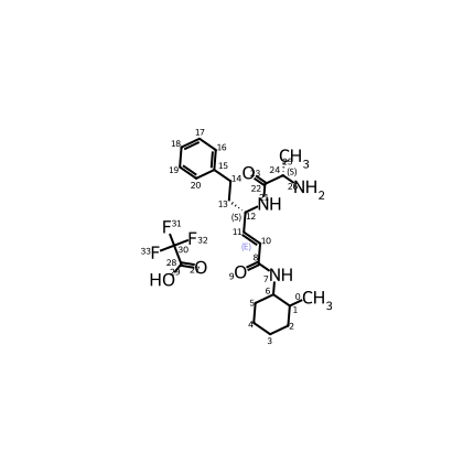 CC1CCCCC1NC(=O)/C=C/[C@H](CCc1ccccc1)NC(=O)[C@H](C)N.O=C(O)C(F)(F)F